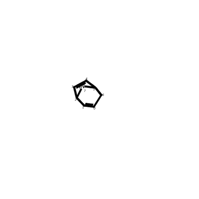 C1=CC2C=CC(C1)N2